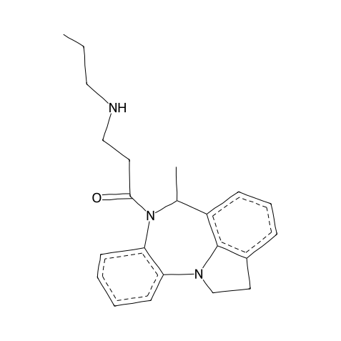 CCCNCCC(=O)N1c2ccccc2N2CCc3cccc(c32)C1C